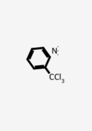 ClC(Cl)(Cl)c1ccccc1.[N]